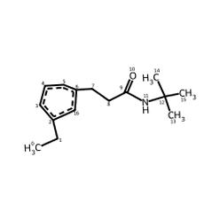 CCc1cccc(CCC(=O)NC(C)(C)C)c1